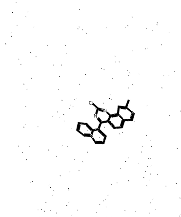 Cc1ccc2ccc3c(-c4cccc5ccccc45)nc(Cl)nc3c2c1